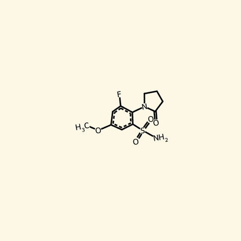 COc1cc(F)c(N2CCCC2=O)c(S(N)(=O)=O)c1